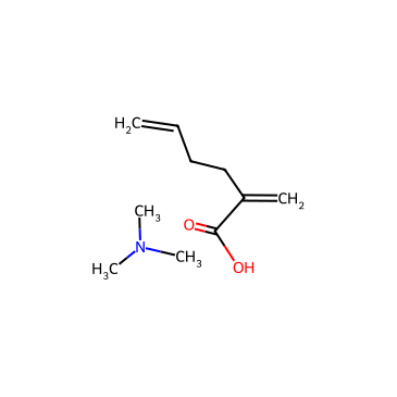 C=CCCC(=C)C(=O)O.CN(C)C